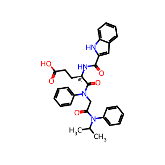 CC(C)N(C(=O)CN(C(=O)[C@@H](CCC(=O)O)NC(=O)c1cc2ccccc2[nH]1)c1ccccc1)c1ccccc1